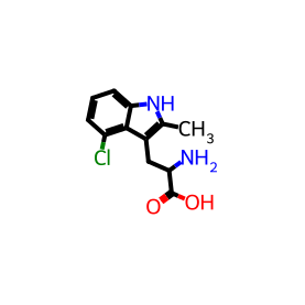 Cc1[nH]c2cccc(Cl)c2c1CC(N)C(=O)O